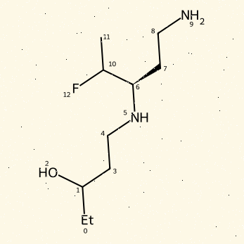 CCC(O)CCN[C@H](CCN)C(C)F